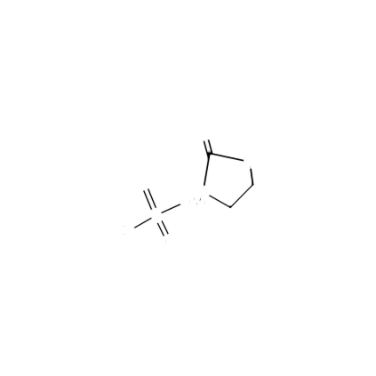 CCS(=O)(=O)OC.O=C1OCCO1